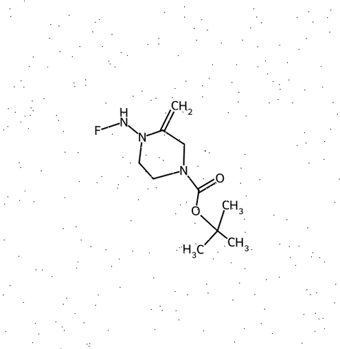 C=C1CN(C(=O)OC(C)(C)C)CCN1NF